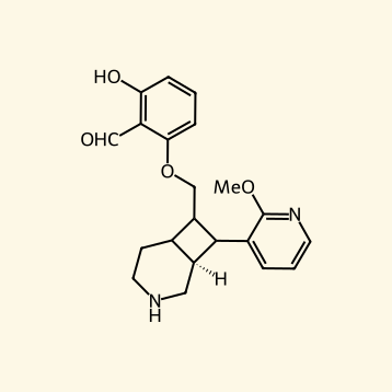 COc1ncccc1C1C(COc2cccc(O)c2C=O)C2CCNC[C@@H]21